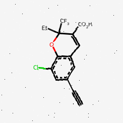 C#Cc1cc(Cl)c2c(c1)C=C(C(=O)O)C(CC)(C(F)(F)F)O2